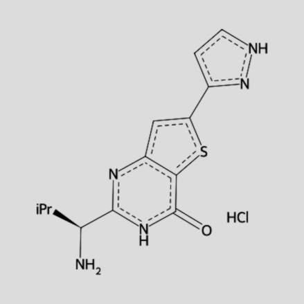 CC(C)[C@H](N)c1nc2cc(-c3cc[nH]n3)sc2c(=O)[nH]1.Cl